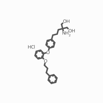 Cl.NC(CO)(CO)CCCc1ccc(Oc2ccccc2OCCCc2ccccc2)cc1